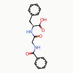 O=C(CNC(=O)c1ccccc1)N[C@@H](Cc1ccccc1)C(=O)O